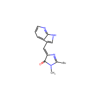 CCCCC1=NC(=Cc2c[nH]c3ncccc23)C(=O)N1C